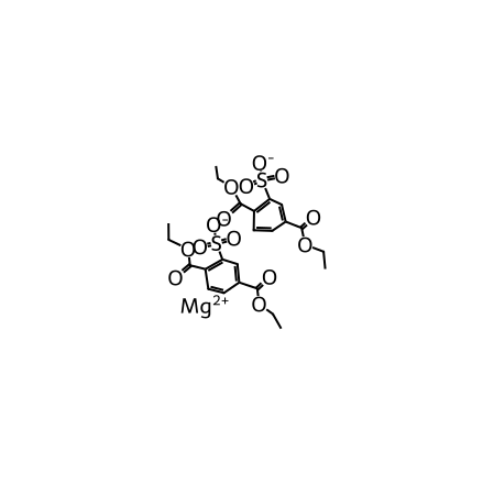 CCOC(=O)c1ccc(C(=O)OCC)c(S(=O)(=O)[O-])c1.CCOC(=O)c1ccc(C(=O)OCC)c(S(=O)(=O)[O-])c1.[Mg+2]